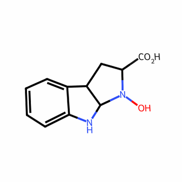 O=C(O)C1CC2c3ccccc3NC2N1O